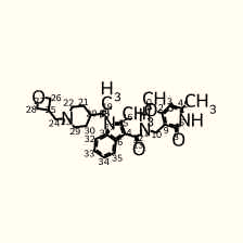 COc1cc(C)[nH]c(=O)c1CNC(=O)c1c(C)n([C@H](C)C2CCN(CC3COC3)CC2)c2ccccc12